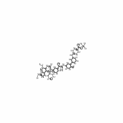 CCc1nc2c(cnn2CC)c(NC2CCOCC2)c1CN(C)Cc1cccc(C(=O)NCc2ccc(F)c(-c3cccc(CN4CCN(C(=O)OC(C)(C)C)CC4)c3)c2)c1